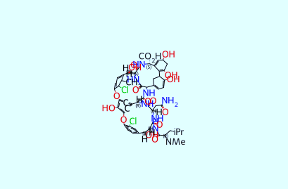 CN[C@H](CC(C)C)C(=O)N[C@H]1C(=O)N[C@@H](CC(N)=O)C(=O)N[C@H]2C(=O)NC3C(=O)N[C@H](C(=O)N[C@H](C(=O)O)C4=CC(O)CC(O)=C4C4CC3=CC=C4O)[C@H](O)C3=CC=C(Oc4cc2cc(c4O)Oc2ccc(cc2Cl)[C@H]1O)C(Cl)C3C